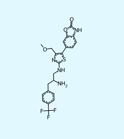 COCc1nc(NCC(N)Cc2ccc(C(F)(F)F)cc2)sc1-c1ccc2[nH]c(=O)oc2c1